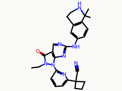 CCn1c(=O)c2cnc(Nc3ccc4c(c3)CCNC4(C)C)nc2n1-c1cccc(C2(C#N)CCC2)n1